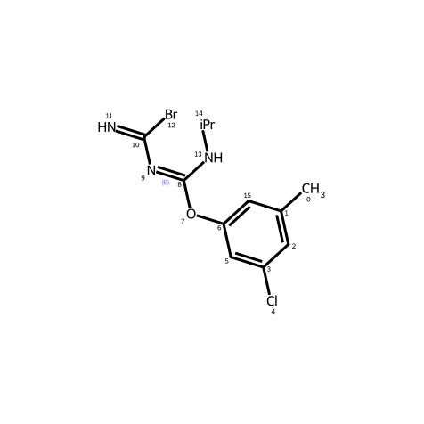 Cc1cc(Cl)cc(O/C(=N/C(=N)Br)NC(C)C)c1